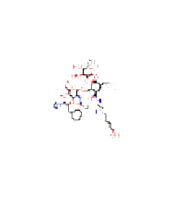 CCC1CC(C(=O)NCCNCCCCCO)C(CO[C@@H]2OC(CO)[C@H](O)C(O[C@@H](CC3CCCCC3)C(=O)N3CCC3)C2NC(C)=O)CC1O[C@@H]1OC(C)[C@@H](O)C(O)C1O